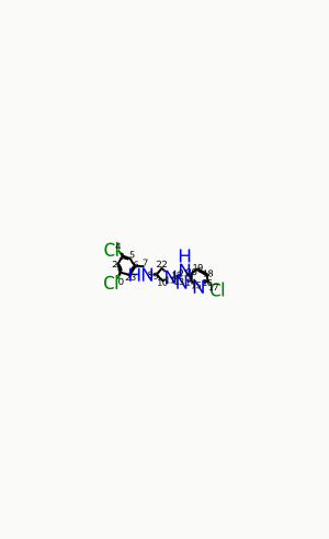 Clc1cc(Cl)cc(CNC2CN(c3nc4nc(Cl)ccc4[nH]3)C2)c1